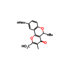 CCCCCCc1ccc2c(c1)-c1oc(C(=O)O)c(C)c(=O)c1C(CCCC)O2